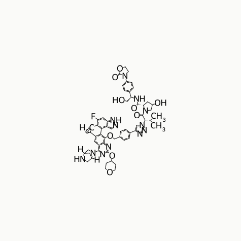 Cc1c(F)cc2[nH]ncc2c1-c1c(C2CC2)cc2c(N3C[C@@H]4C[C@H]3CN4)nc(OC3CCOCC3)nc2c1OCc1ccc(-c2cn([C@H](C(=O)N3C[C@H](O)C[C@H]3C(=O)N[C@@H](CO)c3ccc(N4CCOC4=O)cc3)C(C)C)nn2)cc1